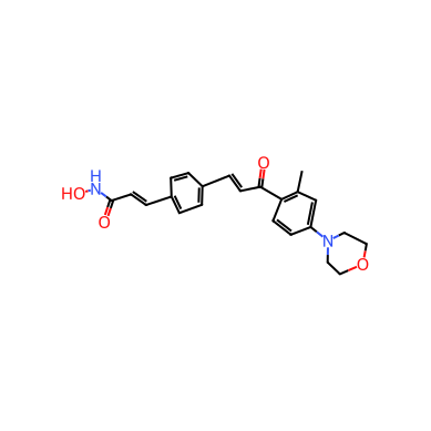 Cc1cc(N2CCOCC2)ccc1C(=O)C=Cc1ccc(C=CC(=O)NO)cc1